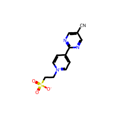 N#Cc1cnc(-c2cc[n+](CCS(=O)(=O)[O-])cc2)nc1